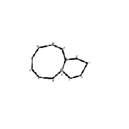 C1CCCB2CCCCC2CCC1